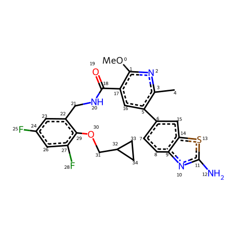 COc1nc(C)c(-c2ccc3nc(N)sc3c2)cc1C(=O)NCc1cc(F)cc(F)c1OCC1CC1